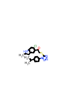 C=C1Cc2cc(C(=O)CSc3nnnn3-c3ccc(C(=C)C)cc3)c(Cl)cc2N1